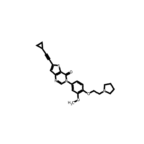 COc1cc(-n2cnc3cc(C#CC4CC4)sc3c2=O)ccc1OCCN1CCCC1